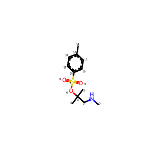 CNCC(C)(C)OS(=O)(=O)c1ccc(C)cc1